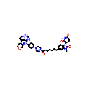 Cn1c(=O)n(C2CCC(=O)NC2=O)c2ccc(CCCCCCC(=O)N3CCN([C@H]4CC[C@H](Nc5ncnn6ccc(C7CCOCC7)c56)CC4)CC3)cc21